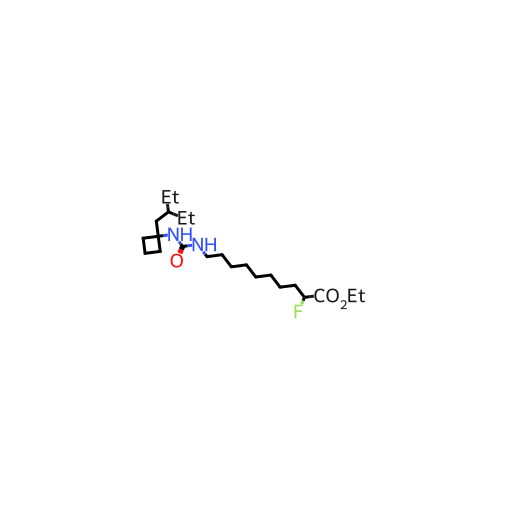 CCOC(=O)C(F)CCCCCCCCNC(=O)NC1(CC(CC)CC)CCC1